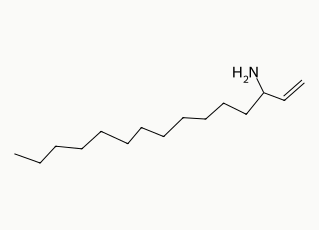 C=CC(N)CCCCCCCCCCCC